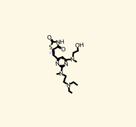 CCN(CC)CCN(C)c1nc(/C=C2/SC(=O)NC2=O)cc(N(C)CCO)n1